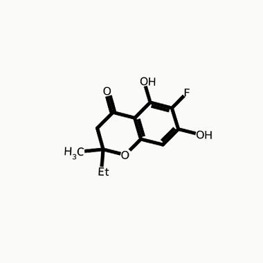 CCC1(C)CC(=O)c2c(cc(O)c(F)c2O)O1